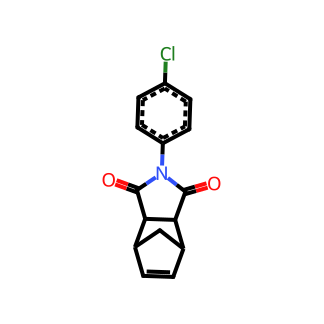 O=C1C2C3C=CC(C3)C2C(=O)N1c1ccc(Cl)cc1